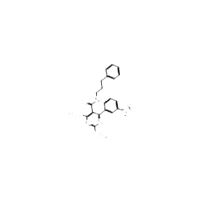 Cc1nc(C)c(C(=O)NCCCc2ccccc2)c(-c2cccc([N+](=O)[O-])c2)n1